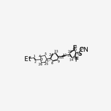 CC/C=C/C1CCC(c2ccc(C#Cc3cc(F)c(SC#N)c(F)c3)cc2)CC1